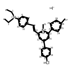 CCN(CC)c1ccc(/C=C/c2cc(-c3ccc(Cl)cc3)cc(-c3ccc(C)cc3)[n+]2C)cc1.[I-]